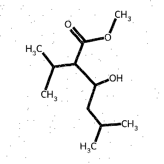 COC(=O)C(C(C)C)C(O)CC(C)C